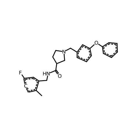 Cc1ccc(F)cc1CNC(=O)C1CCN(Cc2cccc(Oc3ccccc3)c2)C1